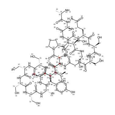 CC(C)C[C@H](NC(=O)CNC(=O)[C@H](CO)NC(=O)[C@H](CO)NC(=O)[C@H](CCC(N)=O)NC(=O)[C@H](CC(C)C)NC(=O)[C@@H](NC(=O)[C@H](C)N)C(C)C)C(=O)N[C@@H](Cc1ccc(O)cc1)C(=O)N[C@@H](CO)C(=O)N[C@@H](CC(C)C)C(=O)N[C@@H](CO)C(=O)N[C@@H](CO)C(=O)N[C@H](C(=O)N[C@H](C(=O)N[C@H](C(=O)N[C@H](C(=O)N1CCC[C@H]1C(=O)N[C@@H](CO)C(=O)N[C@@H](CO)C(=O)O)C(C)C)[C@@H](C)O)C(C)C)C(C)C